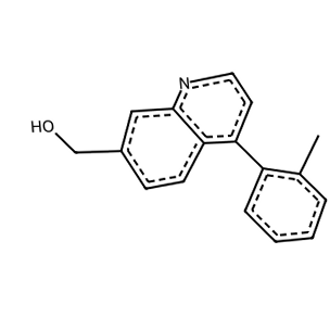 Cc1ccccc1-c1ccnc2cc(CO)ccc12